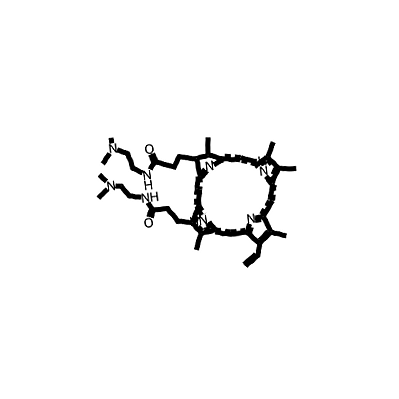 C=CC1=C(C)c2cc3[nH]c(cc4nc(cc5[nH]c(cc1n2)c(C)c5CCC(=O)NCCN(C)C)C(CCC(=O)NCCN(C)C)C4C)c(C)c3C